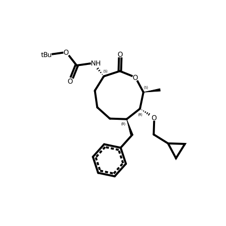 C[C@@H]1OC(=O)[C@@H](NC(=O)OC(C)(C)C)CCC[C@H](Cc2ccccc2)[C@H]1OCC1CC1